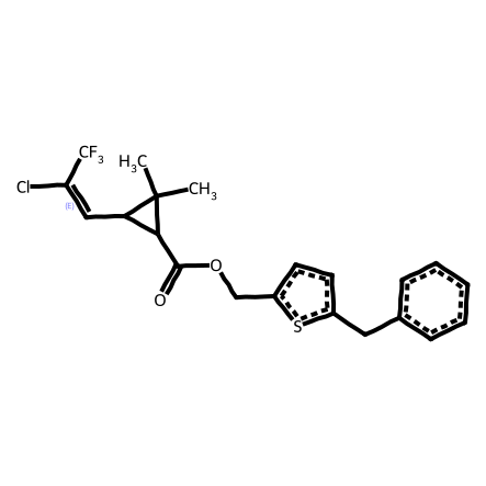 CC1(C)C(/C=C(/Cl)C(F)(F)F)C1C(=O)OCc1ccc(Cc2ccccc2)s1